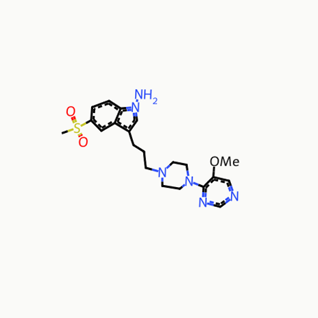 COc1cncnc1N1CCN(CCCc2cn(N)c3ccc(S(C)(=O)=O)cc23)CC1